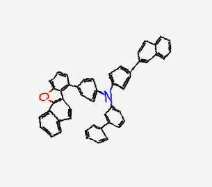 c1ccc(-c2cccc(N(c3ccc(-c4ccc5ccccc5c4)cc3)c3ccc(-c4cccc5oc6c7ccccc7ccc6c45)cc3)c2)cc1